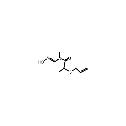 C=CCSC(C)C(=O)N(C)C=NO